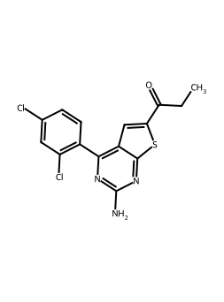 CCC(=O)c1cc2c(-c3ccc(Cl)cc3Cl)nc(N)nc2s1